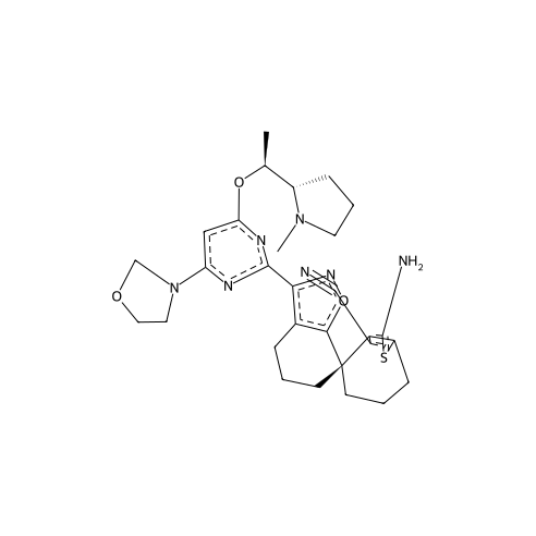 C[C@H](Oc1cc(N2CCOC2)nc(-c2noc3c2CCC[C@@]32CCCc3sc(N)c(C#N)c32)n1)[C@@H]1CCCN1C